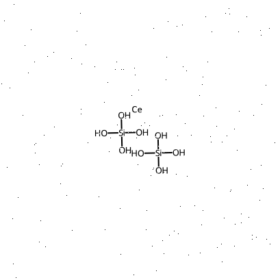 O[Si](O)(O)O.O[Si](O)(O)O.[Ce]